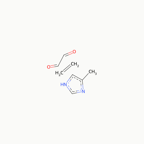 C=C.Cc1c[nH]cn1.O=CC=O